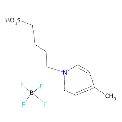 CC1=CCN(CCCCS(=O)(=O)O)C=C1.F[B-](F)(F)F